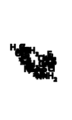 CC(Sc1cc(-c2cnn(C3CCN(C(=O)N(C)C)CC3)c2)cnc1N)c1c(Cl)ccc(F)c1Cl